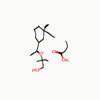 CC(OC(C)(C)CO)C1CCCC(C)(C)C1.CCC(=O)O